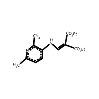 CCOC(=O)C(=CNc1ccc(C)nc1C)C(=O)OCC